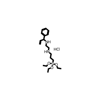 C=CC(NCCNCCC[Si](OCC)(OCC)OCC)c1ccccc1.Cl